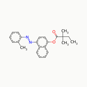 CCC(C)(C)C(=O)Oc1ccc(N=Nc2ccccc2C)c2ccccc12